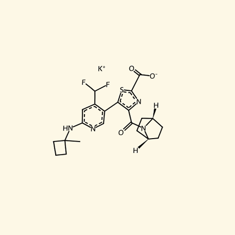 CC1(Nc2cc(C(F)F)c(-c3sc(C(=O)[O-])nc3C(=O)N3[C@H]4CC[C@@H]3CC4)cn2)CCC1.[K+]